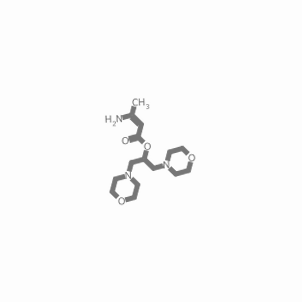 CC(N)=CC(=O)OC(CN1CCOCC1)CN1CCOCC1